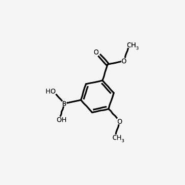 COC(=O)c1cc(OC)cc(B(O)O)c1